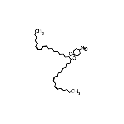 CCCCC/C=C\C/C=C\CCCCCCCC1OC2(CCC(N=O)CC2)OC1CCCCCCC/C=C\C/C=C\CCCCC